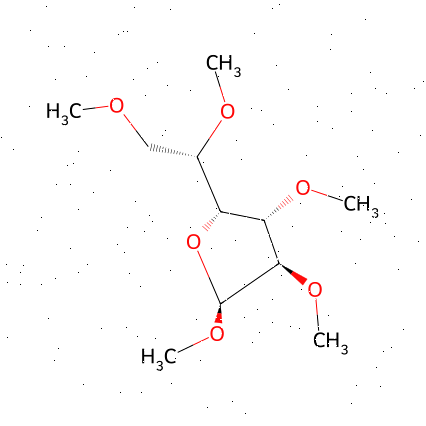 COC[C@H](OC)[C@H]1O[C@H](OC)[C@H](OC)[C@H]1OC